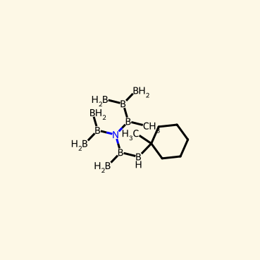 BB(B)B(C)N(B(B)B)B(B)BC1(C)CCCCC1